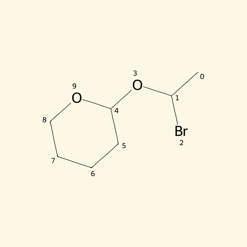 CC(Br)OC1CCCCO1